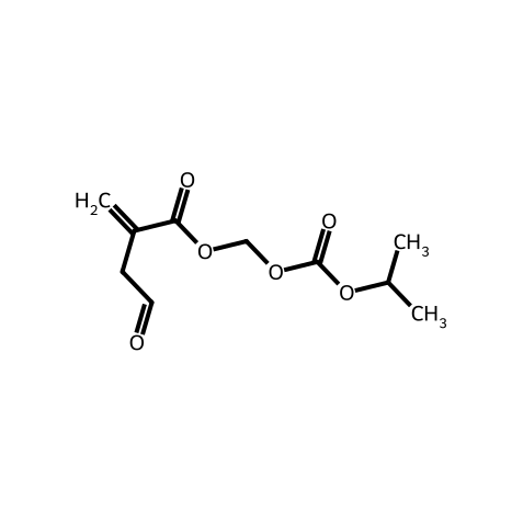 C=C(CC=O)C(=O)OCOC(=O)OC(C)C